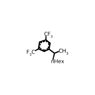 CCCCCCC(C)c1cc(C(F)(F)F)cc(C(F)(F)F)c1